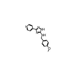 COc1ccc(CNc2nc(-c3ccncc3)n[nH]2)cc1